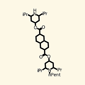 CCCCCN1C(C(C)C)CC(OC(=O)C2CCC3CC(C(=O)OC4CC(C(C)C)NC(C(C)C)C4)CCC3C2)CC1C(C)C